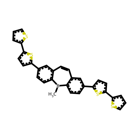 CB1c2ccc(-c3ccc(-c4cccs4)s3)cc2C=Cc2cc(-c3ccc(-c4cccs4)s3)ccc21